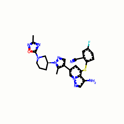 Cc1noc(N2CCC[C@H](n3ncc(-c4cc(Sc5ccc(F)cc5C#N)c5c(N)cnn5c4)c3C)C2)n1